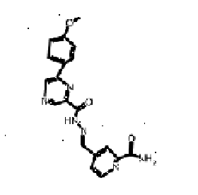 COc1ccc(-c2cncc(C(=O)NN=Cc3ccnc(C(N)=O)c3)n2)cc1